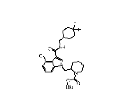 CC(C)(C)OC(=O)N1CCCCC1Cn1cc(C(=O)NCC2CCC(F)(F)CC2)c2c(Cl)cccc21